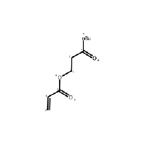 C=CC(=O)OCCC(=O)CCCC